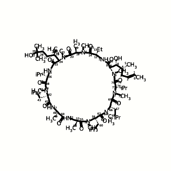 C/C=C/C[C@@H](C)[C@@H](O)[C@H]1C(=O)N[C@@H](CC)C(=O)N(C)[C@H](C)C(=O)N(C)[C@@H]([C@H](C)CCC(C)(C)O)C(=O)N[C@@H](C(C)C)C(=O)N(C)[C@@H](CC(C)C)C(=O)N[C@@H](C)C(=O)N[C@H](C)C(=O)N(C)[C@@H](CC(C)C)C(=O)N(C)[C@@H](CC(C)C)C(=O)N(C)[C@@H](C(C)C)C(=O)N1C